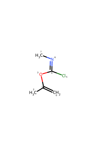 C=C(C)O/C(Cl)=N\C